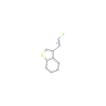 F/C=C/c1csc2ccccc12